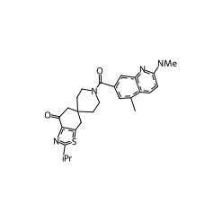 CNc1ccc2c(C)cc(C(=O)N3CCC4(CC3)CC(=O)c3nc(C(C)C)sc3C4)cc2n1